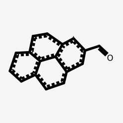 O=Cc1[c]c2ccc3cccc4ccc(c1)c2c34